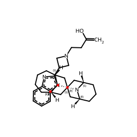 C=C(O)CCN1CC(c2nc3ccccc3n2[C@H]2C[C@H]3CCC[C@@H](C2)N3[C@@H]2C[C@@H]3CCCC[C@@H](C3)C2)C1